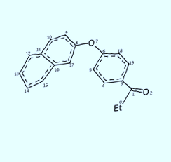 CCC(=O)c1ccc(Oc2ccc3ccccc3c2)cc1